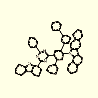 c1ccc(-c2cccc(-c3cc(-c4nc(-c5ccccc5)nc(-c5cccc6c5oc5ccccc56)n4)c(-c4ccccc4)cc3-n3c4cc5ccccc5cc4c4ccc5ccccc5c43)c2)cc1